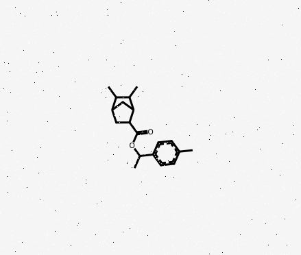 Cc1ccc(C(C)OC(=O)C2CC3CC2C(C)C3C)cc1